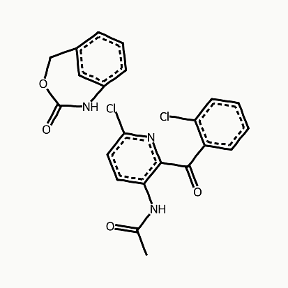 CC(=O)Nc1ccc(Cl)nc1C(=O)c1ccccc1Cl.O=C1Nc2cccc(c2)CO1